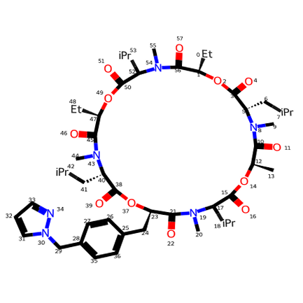 CC[C@H]1OC(=O)[C@H](CC(C)C)N(C)C(=O)[C@@H](C)OC(=O)C(C(C)C)N(C)C(=O)[C@@H](Cc2ccc(Cn3cccn3)cc2)OC(=O)[C@H](CC(C)C)N(C)C(=O)[C@@H](CC)OC(=O)C(C(C)C)N(C)C1=O